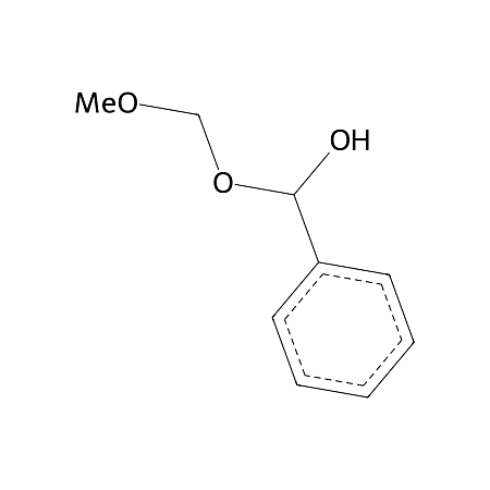 COCOC(O)c1ccccc1